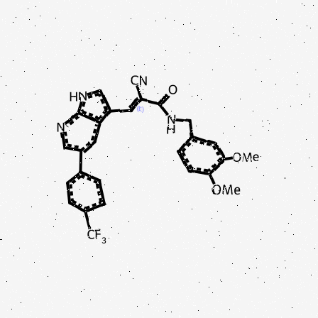 COc1ccc(CNC(=O)/C(C#N)=C/c2c[nH]c3ncc(-c4ccc(C(F)(F)F)cc4)cc23)cc1OC